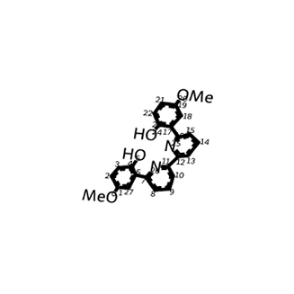 COc1ccc(O)c(-c2cccc(-c3cccc(-c4cc(OC)ccc4O)n3)n2)c1